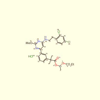 CCOC(=O)OC(C)OC(=O)C(C)(C)c1cccc(-c2cc(NCCc3ccc(Cl)cc3Cl)nc(OC)n2)c1.Cl